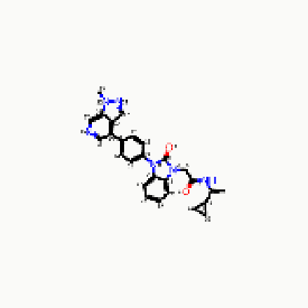 CC(NC(=O)Cn1c(=O)n(-c2ccc(-c3cncc4c3cnn4C)cc2)c2ccccc21)C1CC1